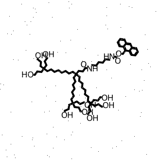 O=C(CCC(CCCCCCCCC(CCCO)(CCCO)CCCO)(CCCCCCCCC(CCCO)(CCCO)CCCO)CCCCCCCC(CCCO)(CCCO)CCCO)NCCCCCCNC(=O)OCc1c2ccccc2cc2ccccc12